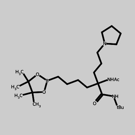 CC(=O)NC(CCCCB1OC(C)(C)C(C)(C)O1)(CCCN1CCCC1)C(=O)NC(C)(C)C